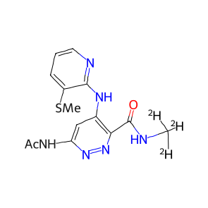 [2H]C([2H])([2H])NC(=O)c1nnc(NC(C)=O)cc1Nc1ncccc1SC